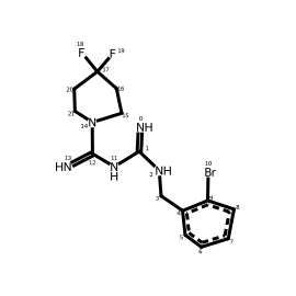 N=C(NCc1ccccc1Br)NC(=N)N1CCC(F)(F)CC1